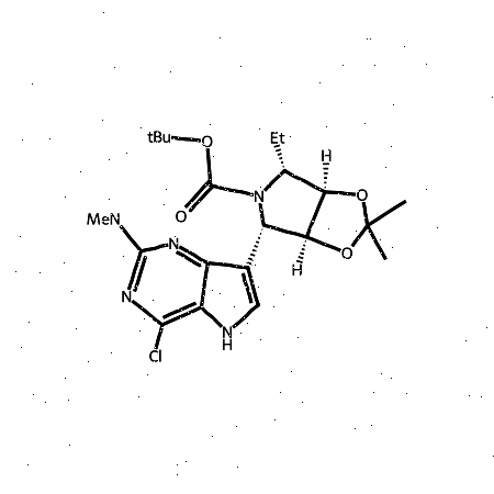 CC[C@@H]1[C@H]2OC(C)(C)O[C@H]2[C@H](c2c[nH]c3c(Cl)nc(NC)nc23)N1C(=O)OC(C)(C)C